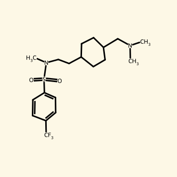 CN(C)CC1CCC(CCN(C)S(=O)(=O)c2ccc(C(F)(F)F)cc2)CC1